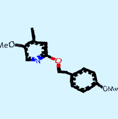 COc1ccc(COc2cc(C)c(OC)cn2)cc1